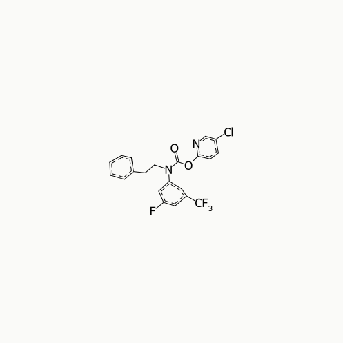 O=C(Oc1ccc(Cl)cn1)N(CCc1ccccc1)c1cc(F)cc(C(F)(F)F)c1